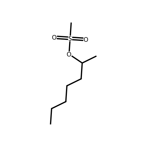 CCCCCC(C)OS(C)(=O)=O